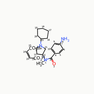 CN(C(=O)c1ccc(N)cc1)C1CCN(C2CCCCC2)C1.O=C(O)/C=C\C(=O)O